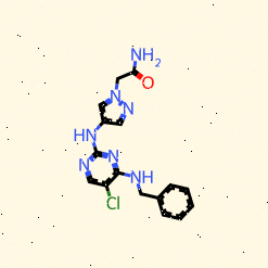 NC(=O)Cn1cc(Nc2ncc(Cl)c(NCc3ccccc3)n2)cn1